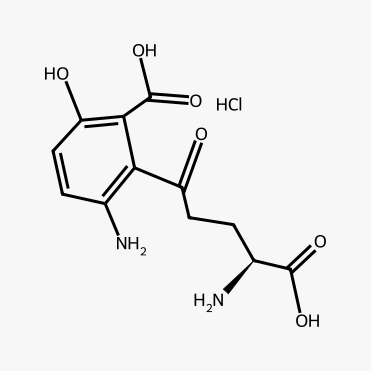 Cl.Nc1ccc(O)c(C(=O)O)c1C(=O)CC[C@H](N)C(=O)O